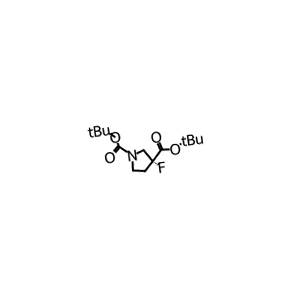 CC(C)(C)OC(=O)N1CC[C@](F)(C(=O)OC(C)(C)C)C1